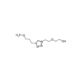 OCCOCCn1cc(CCCOP)nn1